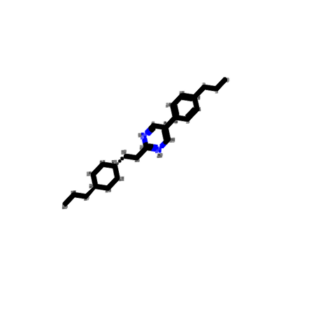 CCCc1ccc(-c2cnc(CC[C@H]3CC[C@H](CCC)CC3)nc2)cc1